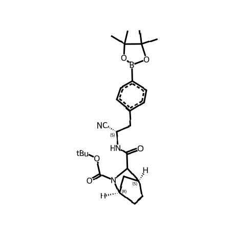 CC(C)(C)OC(=O)N1C(C(=O)N[C@H](C#N)Cc2ccc(B3OC(C)(C)C(C)(C)O3)cc2)[C@H]2CC[C@@H]1C2